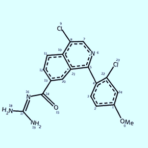 COc1ccc(-c2ncc(Cl)c3ccc(C(=O)N=C(N)N)cc23)c(Cl)c1